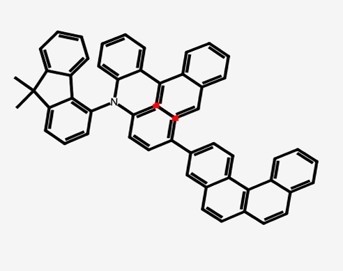 CC1(C)c2ccccc2-c2c(N(c3ccc(-c4ccc5c(ccc6ccc7ccccc7c65)c4)cc3)c3ccccc3-c3cccc4ccccc34)cccc21